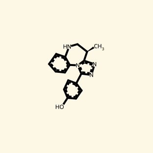 C[C@@H]1CNc2ccccc2-n2c(-c3ccc(O)cc3)nnc21